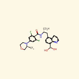 O=C(N[C@@H](Cc1ccc(B(O)O)c2ncccc12)C(=O)O)c1c(F)cc(N2CCOC[C@@H]2C(F)(F)F)cc1F